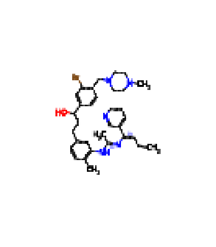 C=C/C=C(\N=C(/C)Nc1cc(CCC(O)c2ccc(CN3CCN(C)CC3)c(Br)c2)ccc1C)c1cccnc1